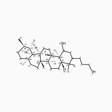 CC(C)CCCC1CC(O)[C@]2(C)[C@H]3CC[C@@H]4[C@@H]5[C@@H](C)[C@H](C)CC[C@]5(C)CC[C@@]4(C)[C@]3(C)CC[C@H]2C1(C)C